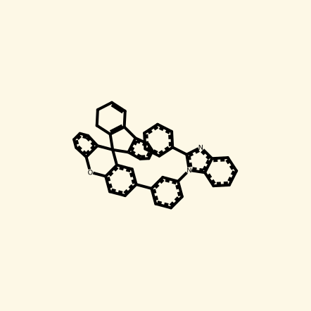 C1=CC2=C(CC1)C1(c3ccccc3Oc3ccc(-c4cccc(-n5c(-c6ccccc6)nc6ccccc65)c4)cc31)c1ccccc12